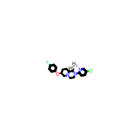 CC1[C@@H]2CC[C@H](Oc3ccc(F)cc3)CN2CCN1c1ccc(Cl)cn1